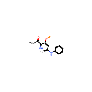 C=C(/C=C(/OP)C(=N)C(=O)OC)Nc1ccccc1